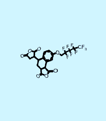 O=C1CC(C2CC3C(=O)OC(=O)C3c3cc(OCC(F)(F)C(F)(F)C(F)(F)C(F)(F)F)ccc32)C(=O)O1